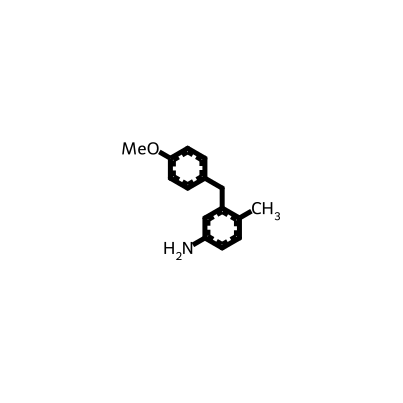 COc1ccc(Cc2cc(N)ccc2C)cc1